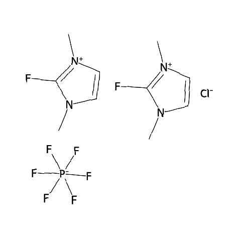 Cn1cc[n+](C)c1F.Cn1cc[n+](C)c1F.F[P-](F)(F)(F)(F)F.[Cl-]